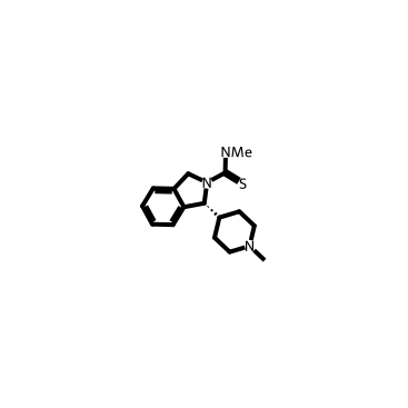 CNC(=S)N1Cc2ccccc2[C@H]1C1CCN(C)CC1